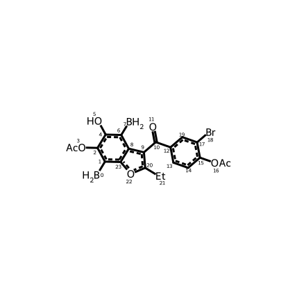 Bc1c(OC(C)=O)c(O)c(B)c2c(C(=O)c3ccc(OC(C)=O)c(Br)c3)c(CC)oc12